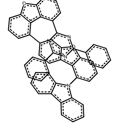 c1ccc(-c2nc(-c3ccccc3)nc(-c3cccc4oc5cccc(-c6ccc7c(c6)oc6cccc(-n8c9ccccc9c9ccccc98)c67)c5c34)n2)cc1